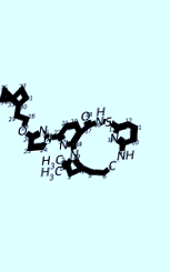 CC1(C)CC2CCCNc3cccc(n3)SNC(=O)c3ccc(-n4ccc(OCCC5CCC56CC6)n4)nc3N1C2